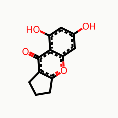 O=c1c2c(oc3cc(O)cc(O)c13)CCC2